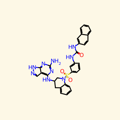 Nc1nc(NC2Cc3ccccc3N(S(=O)(=O)c3cccc(NC(=O)Nc4ccc5ccccc5c4)c3)C2)c2cn[nH]c2n1